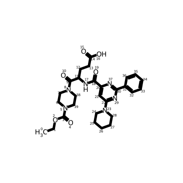 CCOC(=O)N1CCN(C(=O)C(CCC(=O)O)NC(=O)c2cc(N3CCCCC3)nc(-c3ccccc3)n2)CC1